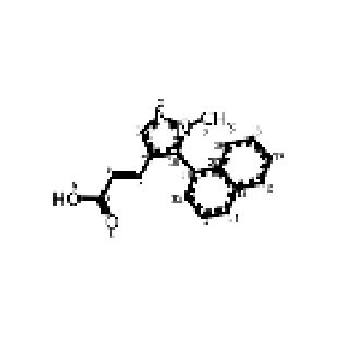 Cn1ncc(C=CC(=O)O)c1-c1cccc2ccccc12